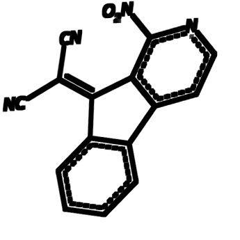 N#CC(C#N)=C1c2ccccc2-c2ccnc([N+](=O)[O-])c21